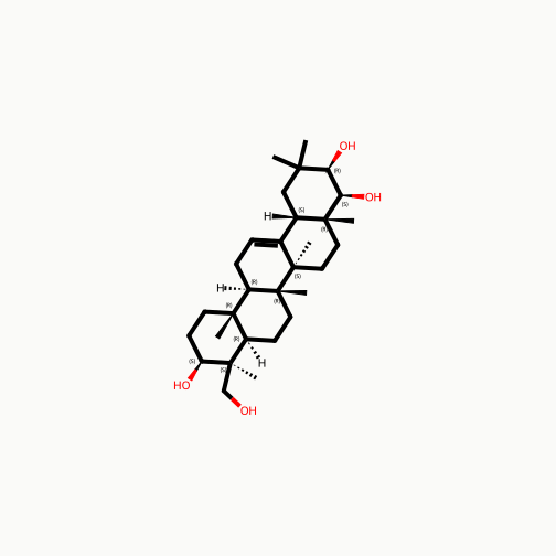 CC1(C)C[C@H]2C3=CC[C@@H]4[C@@]5(C)CC[C@H](O)[C@](C)(CO)[C@@H]5CC[C@@]4(C)[C@]3(C)CC[C@@]2(C)[C@H](O)[C@@H]1O